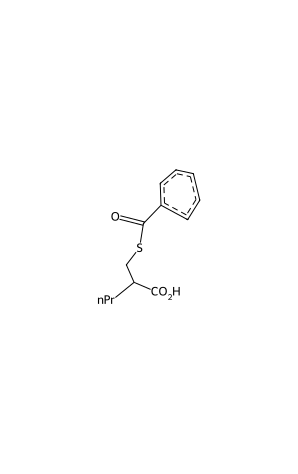 CCCC(CSC(=O)c1ccccc1)C(=O)O